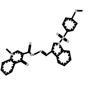 COc1ccc(S(=O)(=O)n2cc(C=NNC(=O)c3cn(C)c4ccccc4c3=O)c3ccccc32)cc1